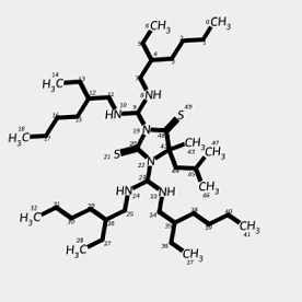 CCCCC(CC)CNC(NCC(CC)CCCC)N1C(=S)N(C(NCC(CC)CCCC)NCC(CC)CCCC)C(C)(CC(C)C)C1=S